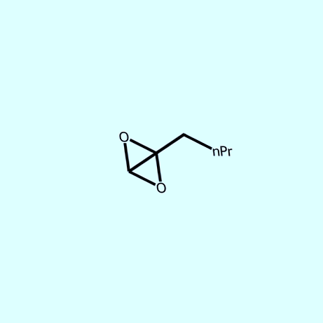 CCCCC12OC1O2